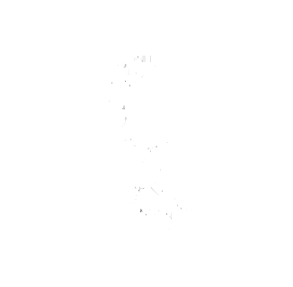 Cn1ncc2c(SCC(=O)c3ccc(C4CCN(S(N)(=O)=O)C4)s3)ncnc21